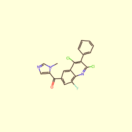 Cn1cncc1C(=O)c1cc(F)c2nc(Cl)c(-c3ccccc3)c(Cl)c2c1